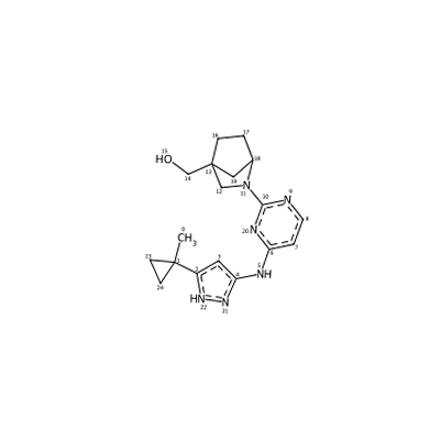 CC1(c2cc(Nc3ccnc(N4CC5(CO)CCC4C5)n3)n[nH]2)CC1